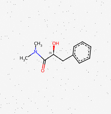 CN(C)C(=O)[C@@H](O)Cc1ccccc1